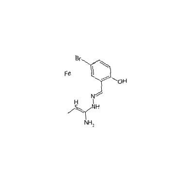 C[SH]=C(N)NN=Cc1cc(Br)ccc1O.[Fe]